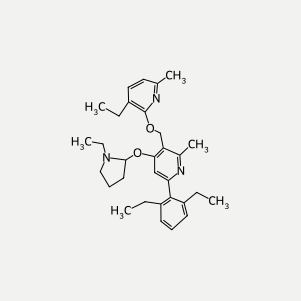 CCc1ccc(C)nc1OCc1c(OC2CCCN2CC)cc(-c2c(CC)cccc2CC)nc1C